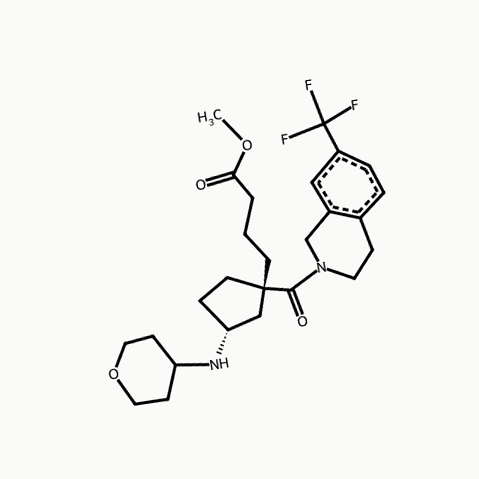 COC(=O)CCC[C@]1(C(=O)N2CCc3ccc(C(F)(F)F)cc3C2)CC[C@@H](NC2CCOCC2)C1